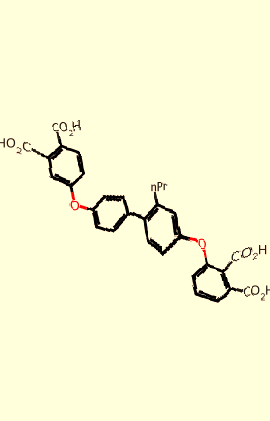 CCCc1cc(Oc2cccc(C(=O)O)c2C(=O)O)ccc1-c1ccc(Oc2ccc(C(=O)O)c(C(=O)O)c2)cc1